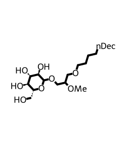 CCCCCCCCCCCCCCOCC(COC1O[C@H](CO)[C@@H](O)[C@H](O)[C@H]1O)OC